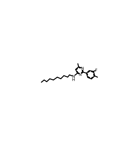 CCCCCCCCCCNc1cc(C)nc(-c2ccc(C)c(F)c2)n1